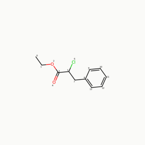 CCOC(=O)C(Cl)Cc1[c]cccc1